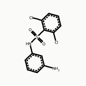 Nc1cccc(NS(=O)(=O)c2c(Cl)cccc2Cl)c1